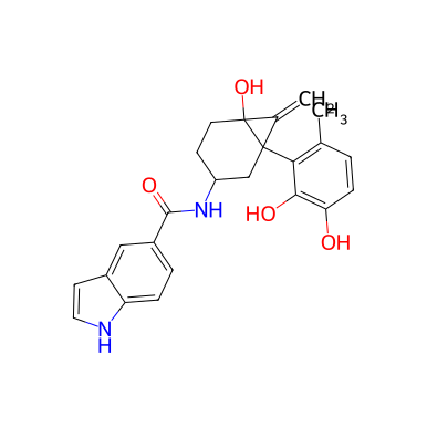 C=C1C2(O)CCC(NC(=O)c3ccc4[nH]ccc4c3)CC12c1c(C)ccc(O)c1O